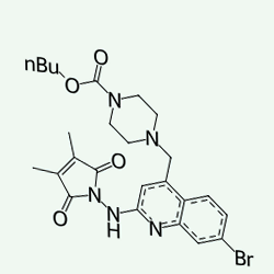 CCCCOC(=O)N1CCN(Cc2cc(NN3C(=O)C(C)=C(C)C3=O)nc3cc(Br)ccc23)CC1